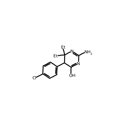 CCC1(CC)N=C(N)N=C(O)C1c1ccc(Cl)cc1